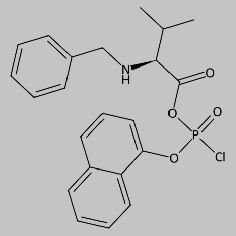 CC(C)[C@H](NCc1ccccc1)C(=O)OP(=O)(Cl)Oc1cccc2ccccc12